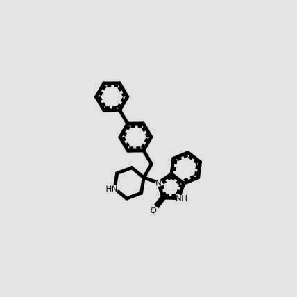 O=c1[nH]c2ccccc2n1C1(Cc2ccc(-c3ccccc3)cc2)CCNCC1